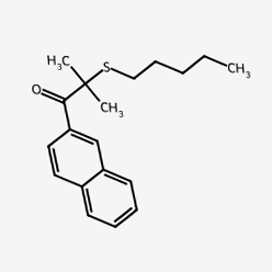 CCCCCSC(C)(C)C(=O)c1ccc2ccccc2c1